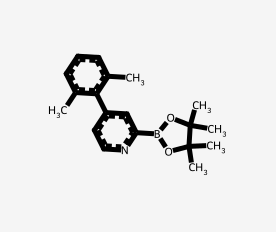 Cc1cccc(C)c1-c1ccnc(B2OC(C)(C)C(C)(C)O2)c1